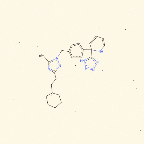 CCCc1nc(CCC2CCCCC2)nn1Cc1ccc(C2(c3nnn[nH]3)C=CC=CN2)cc1